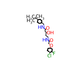 CC(C)(C)c1ccc(CNC(=O)CC(O)CCNC(=O)COc2ccc(Cl)c(F)c2)cc1